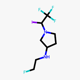 FCCNC1CCN(C(I)C(F)(F)F)C1